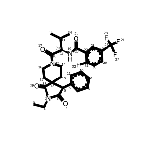 CCN1C(=O)C(c2ccccc2)C2(CCN(C(=O)[C@H](NC(=O)c3cc(C(F)(F)F)ccc3F)C(C)C)CC2)C1=O